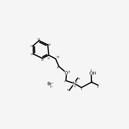 CC(O)C[N+](C)(C)COCCc1ccccc1.[Br-]